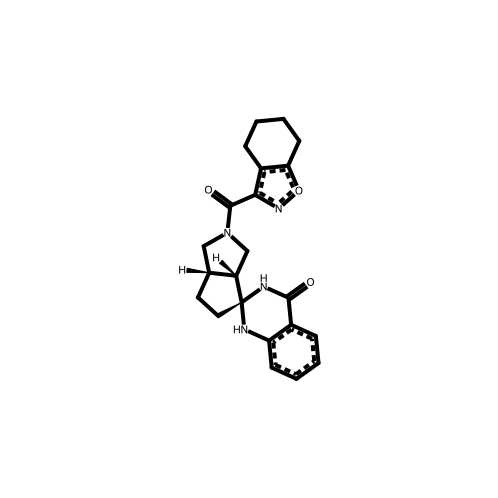 O=C1N[C@]2(CC[C@@H]3CN(C(=O)c4noc5c4CCCC5)C[C@@H]32)Nc2ccccc21